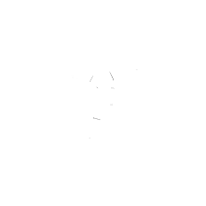 CC(C)(C)OC(=O)O[C@H]1C[C@H](C(=O)OC(C)(C)C)N(C(=O)OC(C)(C)C)C1